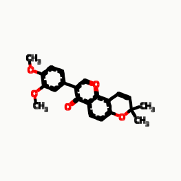 COc1ccc(-c2coc3c4c(ccc3c2=O)OC(C)(C)C=C4)cc1OC